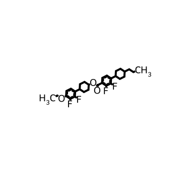 CCCC1CCC(c2ccc(C(=O)OC3CCC(c4ccc(OCC)c(F)c4F)CC3)c(F)c2F)CC1